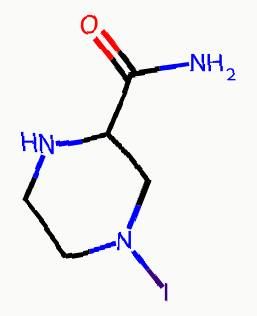 NC(=O)C1CN(I)CCN1